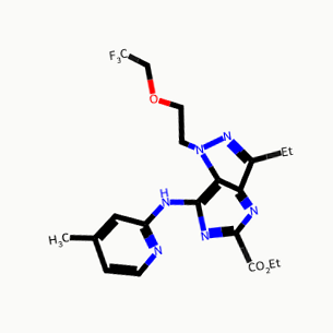 CCOC(=O)c1nc(Nc2cc(C)ccn2)c2c(n1)c(CC)nn2CCOCC(F)(F)F